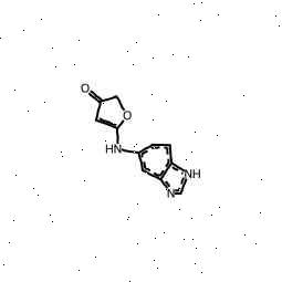 O=C1C=C(Nc2ccc3[nH]cnc3c2)OC1